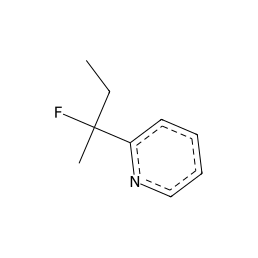 CCC(C)(F)c1ccccn1